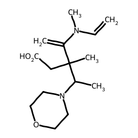 C=CN(C)C(=C)C(C)(CC(=O)O)C(C)N1CCOCC1